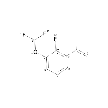 C=Cc1cccc(OC(F)F)c1F